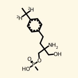 [2H]C([2H])(C)c1ccc(CCC(N)(CO)COP(C)(=O)O)cc1